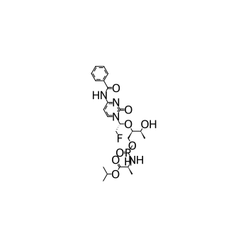 CC(C)OC(=O)[C@H](C)N[PH](=O)OC[C@@H](O[C@H](CF)n1ccc(NC(=O)c2ccccc2)nc1=O)[C@H](C)O